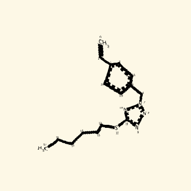 C=Cc1ccc(Cn2nnc(SCCCCCC)n2)cc1